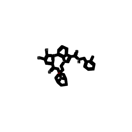 COc1cccc2c(C(=O)NCc3ccccc3C)cn(CCCN3C4CCC3CN(CC(=O)c3ccc(Cl)c(Cl)c3)C4)c12